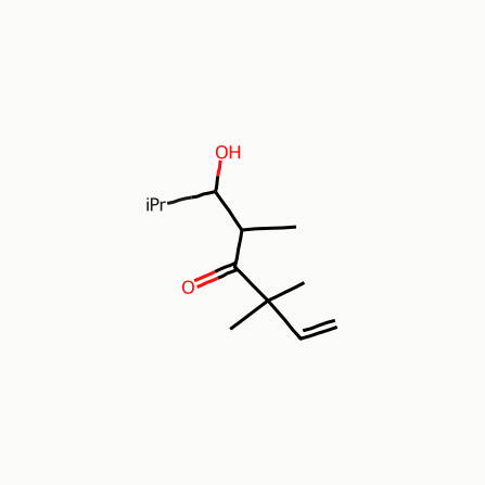 C=CC(C)(C)C(=O)C(C)C(O)C(C)C